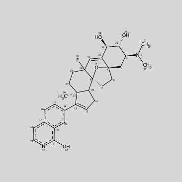 CN(C)[C@H]1C[C@@]23CC[C@]4(O2)C2CC=C(c5ccc6ccnc(O)c6c5)[C@@]2(C)CCC4(F)C=C3[C@@H](O)[C@@H]1O